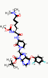 COC(=O)N[C@@H](CC/C=C/C(=O)N(C)C)C(=O)Nc1cccn(Cc2nc3c(Oc4ccc(F)cc4F)ncnc3n2C(=O)OC(C)(C)C)c1=O